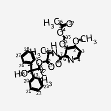 COc1ccnc(C(=O)N[C@@H](C)C(=O)O[C@@H](C)C(O)(c2ccccc2)c2ccccc2)c1OCOC(C)=O